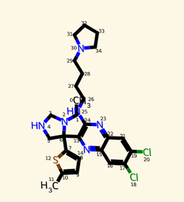 CCN1CNCC1(c1ccc(C)s1)c1nc2cc(Cl)c(Cl)cc2nc1NCCCCN1CCCC1